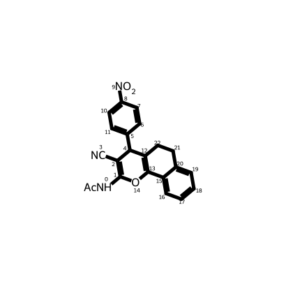 CC(=O)NC1=C(C#N)C(c2ccc([N+](=O)[O-])cc2)C2=C(O1)c1ccccc1CC2